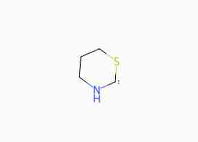 [C]1NCCCS1